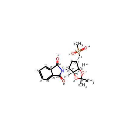 CC1(C)O[C@@H]2[C@@H](CS(C)(=O)=O)C[C@@H](N3C(=O)c4ccccc4C3=O)[C@@H]2O1